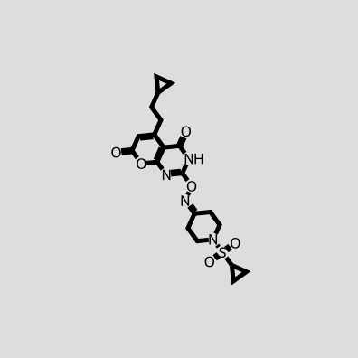 O=c1cc(CCC2CC2)c2c(=O)[nH]c(ON=C3CCN(S(=O)(=O)C4CC4)CC3)nc2o1